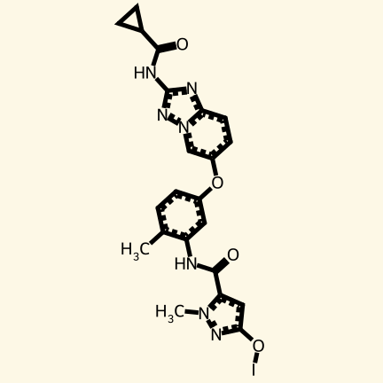 Cc1ccc(Oc2ccc3nc(NC(=O)C4CC4)nn3c2)cc1NC(=O)c1cc(OI)nn1C